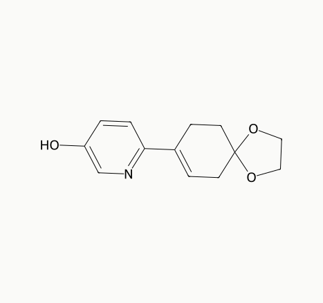 Oc1ccc(C2=CCC3(CC2)OCCO3)nc1